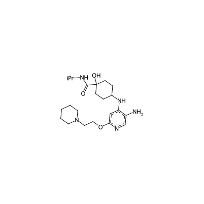 CC(C)NC(=O)C1(O)CCC(Nc2cc(OCCN3CCCCC3)ncc2N)CC1